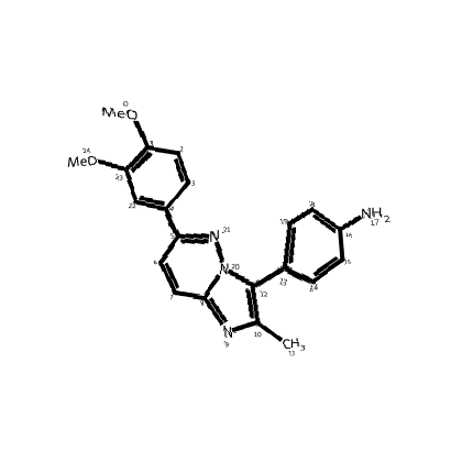 COc1ccc(-c2ccc3nc(C)c(-c4ccc(N)cc4)n3n2)cc1OC